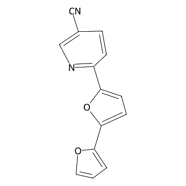 N#Cc1ccc(-c2ccc(-c3ccco3)o2)nc1